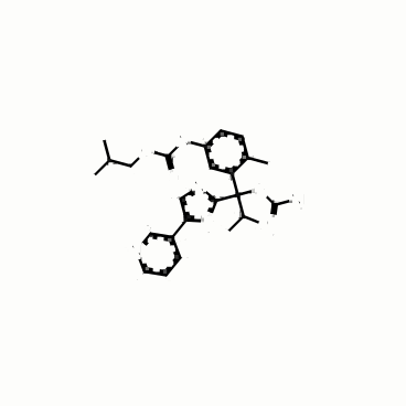 Cc1ccc(NC(=O)OCC(C)C)cc1C(OC(N)=O)(c1ncc(-c2cccnc2)o1)C(C)C